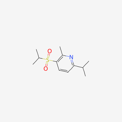 Cc1nc(C(C)C)ccc1S(=O)(=O)C(C)C